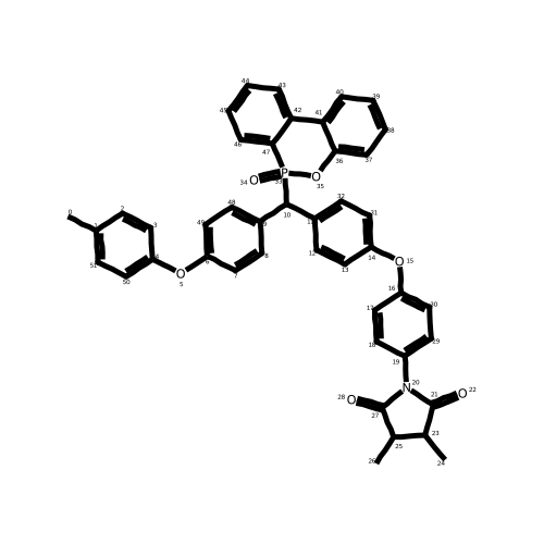 Cc1ccc(Oc2ccc(C(c3ccc(Oc4ccc(N5C(=O)C(C)C(C)C5=O)cc4)cc3)P3(=O)Oc4ccccc4-c4ccccc43)cc2)cc1